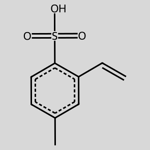 C=Cc1cc(C)ccc1S(=O)(=O)O